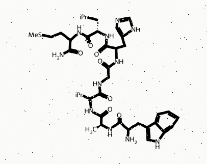 CSCCC(NC(=O)[C@H](CC(C)C)NC(=O)C(Cc1cnc[nH]1)NC(=O)CNC(=O)C(NC(=O)[C@H](C)NC(=O)C(N)Cc1c[nH]c2ccccc12)C(C)C)C(N)=O